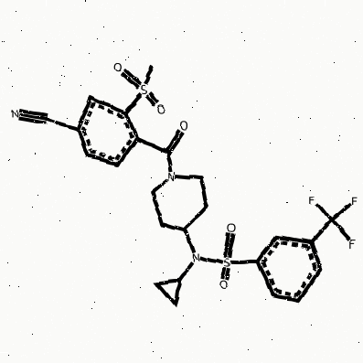 CS(=O)(=O)c1cc(C#N)ccc1C(=O)N1CCC(N(C2CC2)S(=O)(=O)c2cccc(C(F)(F)F)c2)CC1